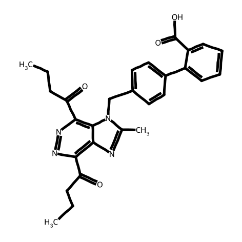 CCCC(=O)c1nnc(C(=O)CCC)c2c1nc(C)n2Cc1ccc(-c2ccccc2C(=O)O)cc1